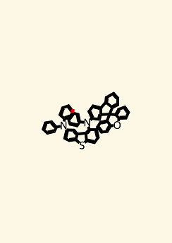 c1ccc(N(c2ccccc2)c2ccc3sc4cccc(N(c5ccccc5)c5ccc6c(c5)C5(c7ccccc7Oc7ccccc75)c5ccccc5-6)c4c3c2)cc1